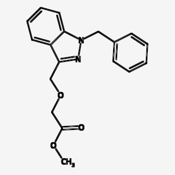 COC(=O)COCc1nn(Cc2ccccc2)c2ccccc12